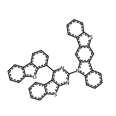 c1ccc2c(c1)oc1c(-c3nc(-n4c5ccccc5c5cc6sc7ccccc7c6cc54)nc4sc5ccccc5c34)cccc12